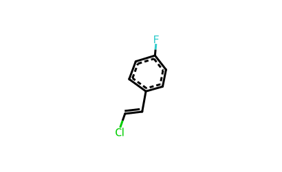 Fc1ccc(C=CCl)cc1